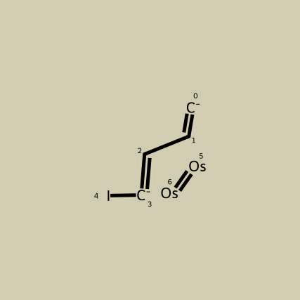 [CH-]=CC=[C-]I.[Os]=[Os]